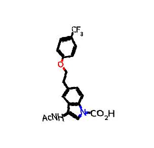 CC(=O)Nc1cn(C(=O)O)c2ccc(CCOc3ccc(C(F)(F)F)cc3)cc12